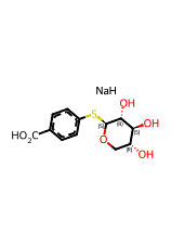 O=C(O)c1ccc(S[C@@H]2OC[C@@H](O)[C@H](O)[C@H]2O)cc1.[NaH]